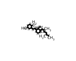 C=C(CC)CC[C@@H](C)[C@H]1CC[C@H]2/C(=C/C=C3/C[C@@H](O)CCC3=C)CCC[C@]12C